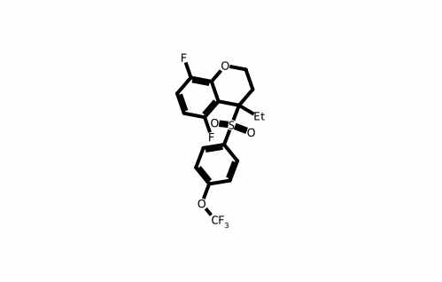 CCC1(S(=O)(=O)c2ccc(OC(F)(F)F)cc2)CCOc2c(F)ccc(F)c21